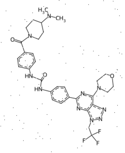 CN(C)C1CCN(C(=O)c2ccc(NC(=O)Nc3ccc(-c4nc(N5CCOCC5)c5nnn(CC(F)(F)F)c5n4)cc3)cc2)CC1